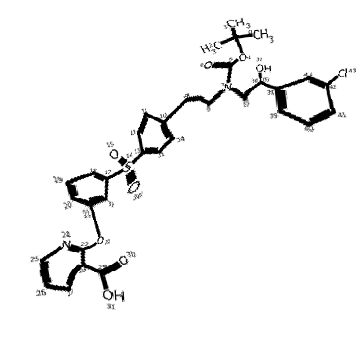 CC(C)(C)OC(=O)N(CCc1ccc(S(=O)(=O)c2cccc(Oc3ncccc3C(=O)O)c2)cc1)C[C@@H](O)c1cccc(Cl)c1